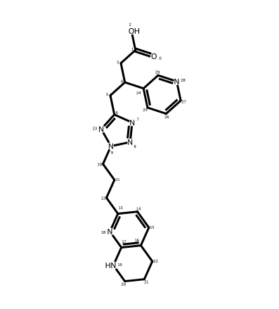 O=C(O)CC(Cc1nnn(CCCc2ccc3c(n2)NCCC3)n1)c1cccnc1